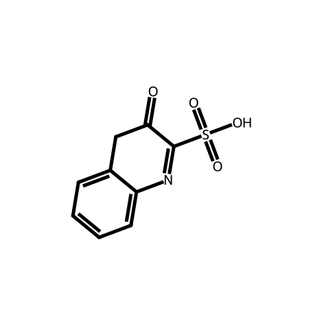 O=C1Cc2ccccc2N=C1S(=O)(=O)O